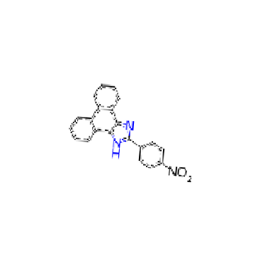 O=[N+]([O-])c1ccc(-c2nc3c4ccccc4c4ccccc4c3[nH]2)cc1